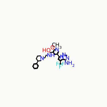 COc1ncc(-c2cc(C(F)(F)F)c3c(N)ncnn23)cc1C(O)NCCN1CCCC(c2ccccc2)C1